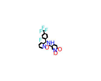 COn1cc(C(=O)N[C@@H](c2ccc(C(F)(F)F)cc2)c2ncccc2F)ccc1=O